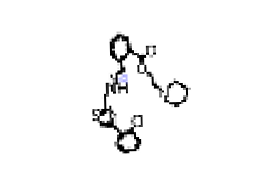 O=C(OCCN1CCCCC1)c1ccccc1/C=N/NCc1nc(-c2ccccc2Cl)cs1